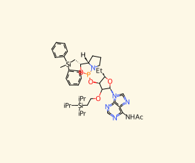 CC[C@H]1O[C@@H](n2cnc3c(NC(C)=O)ncnc32)C(OCC[Si](C(C)C)(C(C)C)C(C)C)[C@H]1O[P@@]1O[C@H](C[Si](C)(c2ccccc2)c2ccccc2)[C@@H]2CCCN21